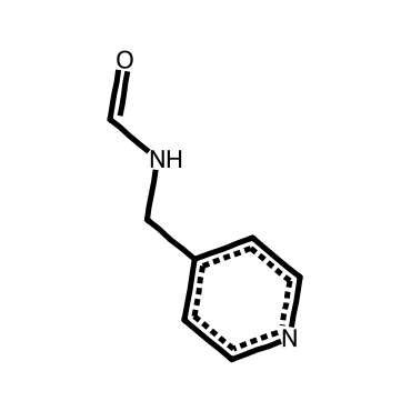 O=CNCc1ccncc1